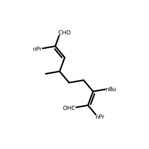 CCCCC(CCC(C)C=C(C=O)CCC)=C(C=O)CCC